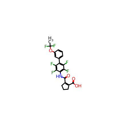 CC(F)(F)Oc1cccc(-c2c(F)c(F)c(NC(=O)C3=C(C(=O)O)CCC3)c(F)c2F)c1